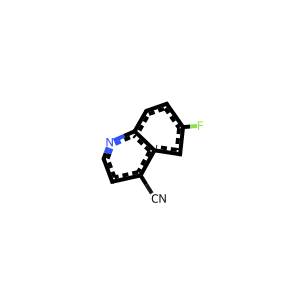 N#Cc1ccnc2ccc(F)cc12